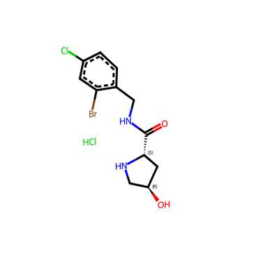 Cl.O=C(NCc1ccc(Cl)cc1Br)[C@@H]1C[C@@H](O)CN1